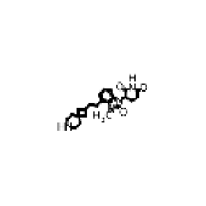 Cn1c(=O)n(C2CCC(=O)NC2=O)c2cccc(CCC3CC4(CCNCC4)C3)c21